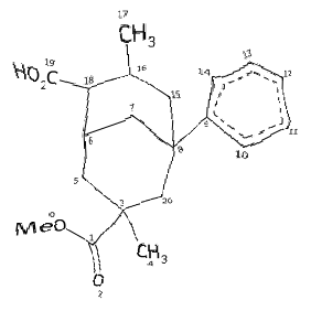 COC(=O)C1(C)CC2CC(c3ccccc3)(CC(C)C2C(=O)O)C1